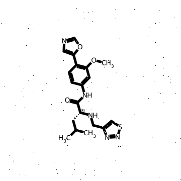 COc1cc(NC(=O)[C@@H](CC(C)C)NCc2csnn2)ccc1-c1cnco1